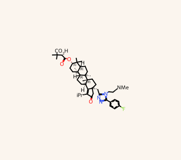 CNCCn1c(C[C@@]23CC[C@]4(C)[C@H](CC[C@@H]5[C@@]6(C)CC[C@H](OC(=O)CC(C)(C)C(=O)O)C(C)(C)[C@@H]6CC[C@]54C)C2=C(C(C)C)C(=O)C3)nnc1-c1ccc(F)cc1